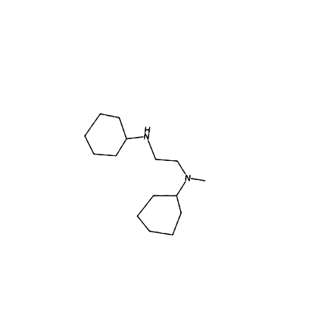 CN(CCNC1CCCCC1)C1CCCCC1